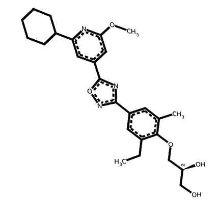 CCc1cc(-c2noc(-c3cc(OC)nc(C4CCCCC4)c3)n2)cc(C)c1OC[C@@H](O)CO